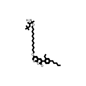 CCCCCc1ccc(-c2cc3cc(OCCCCCCCCCCCCOC(C)(N)C(C)CC(C)(C)C)cnc3oc2=O)c(CC)c1